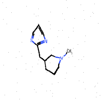 CN1CCCC(Cc2ncccn2)C1